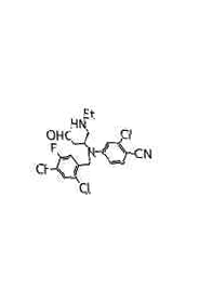 CCNC[C@H](CC=O)N(Cc1cc(F)c(Cl)cc1Cl)c1ccc(C#N)c(Cl)c1